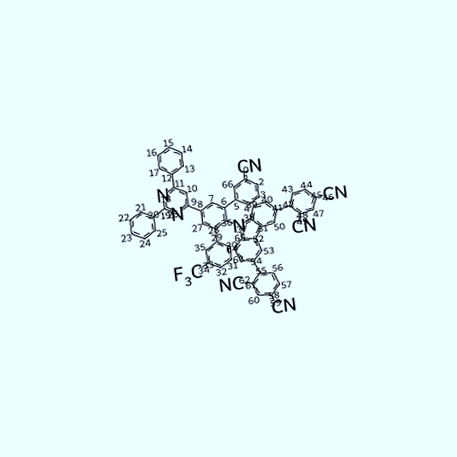 N#Cc1cccc(-c2cc(-c3cc(-c4ccccc4)nc(-c4ccccc4)n3)cc(-c3cccc(C(F)(F)F)c3)c2-n2c3ccc(-c4ccc(C#N)cc4C#N)cc3c3cc(-c4ccc(C#N)cc4C#N)ccc32)c1